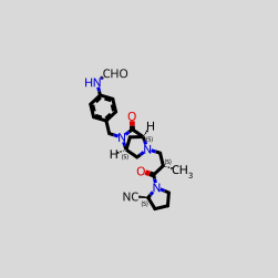 C[C@@H](CN1C[C@@H]2C[C@H]1C(=O)N2Cc1ccc(NC=O)cc1)C(=O)N1CCC[C@H]1C#N